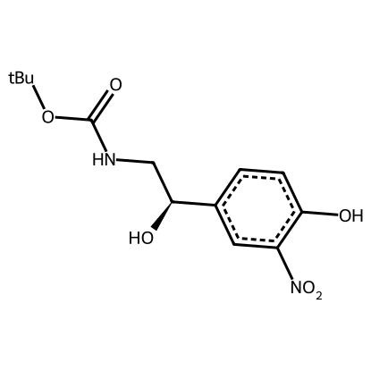 CC(C)(C)OC(=O)NC[C@H](O)c1ccc(O)c([N+](=O)[O-])c1